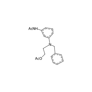 CC(=O)Nc1cccc(N(CCOC(C)=O)Cc2ccccc2)c1